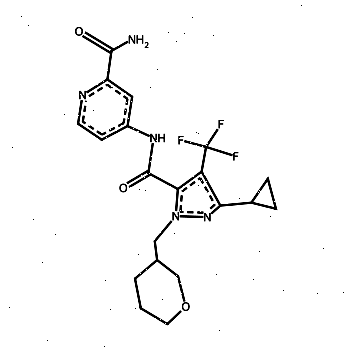 NC(=O)c1cc(NC(=O)c2c(C(F)(F)F)c(C3CC3)nn2CC2CCCOC2)ccn1